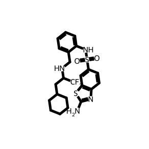 Nc1nc2ccc(S(=O)(=O)Nc3ccccc3CNC(CC3CCCCC3)C(F)(F)F)cc2s1